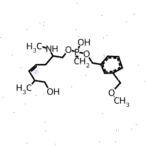 C=P(O)(OCc1cccc(COC)c1)OCC(C/C=C\C(C)CO)NC